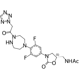 CC(=O)NC[C@H]1CN(c2cc(F)c(N3CCNN(C(=O)Cn4ncnn4)CC3)c(F)c2)C(=O)O1